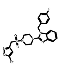 CCc1cc(CS(=O)(=O)N2CCN(c3nc4ccccc4n3Cc3ccc(F)cc3)CC2)no1